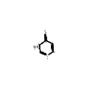 N.O=C1C=CN=CC1